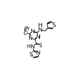 CC(C)Oc1nc(NCc2ccsc2)nc(C(=S)Nc2nccs2)n1